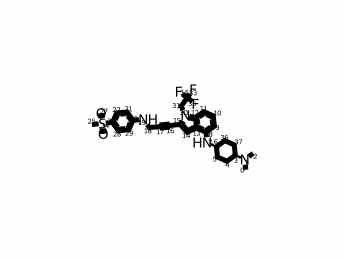 CN(C)[C@H]1CC[C@@H](Nc2cccc3c2cc(C#CCNc2ccc(S(C)(=O)=O)cc2)n3CC(F)(F)F)CC1